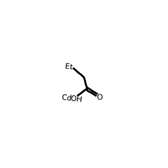 CCCC(=O)O.[Cd]